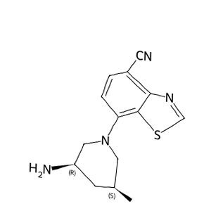 C[C@H]1C[C@@H](N)CN(c2ccc(C#N)c3ncsc23)C1